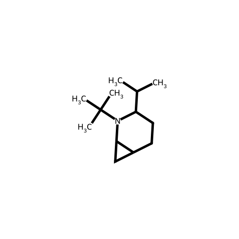 CC(C)C1CCC2CC2N1C(C)(C)C